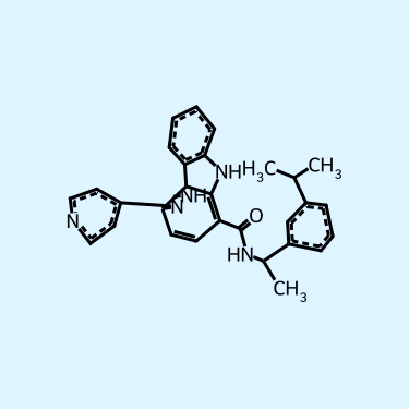 CC(C)c1cccc(C(C)NC(=O)C2=C3Nc4ccccc4C34NCN(c3ccncc3)C4C=C2)c1